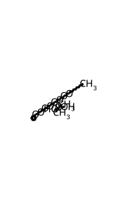 CC(O)COC(C)CO.CCCCCCCCCOCCOCCOCCOCCOCCOCCOCCOc1ccccc1